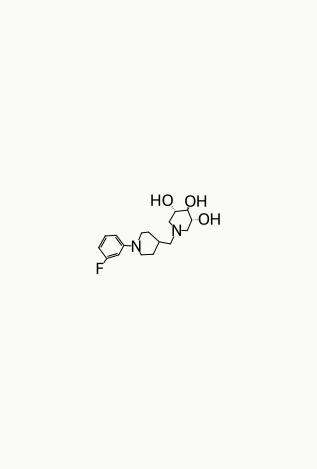 O[C@H]1[C@H](O)CN(CC2CCN(c3cccc(F)c3)CC2)C[C@@H]1O